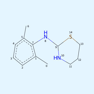 Cc1cccc(C)c1NC1NCCCS1